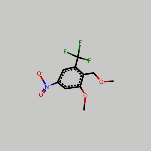 COCc1c(OC)cc([N+](=O)[O-])cc1C(F)(F)F